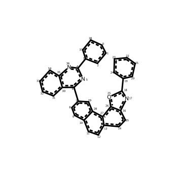 c1ccc(-c2nc(-c3ccc4ccc5ccc6nc(-c7ccccc7)oc6c5c4c3)c3ccccc3n2)cc1